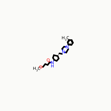 COCCCC(=O)N[C@H]1CC[C@H](CCN2CCN(c3cccc(C)c3)CC2)CC1